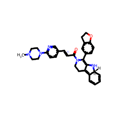 CN1CCN(c2ccc(/C=C/C(=O)N3CCC4=C5C=CC=C[C@H]5NC4=C3c3ccc4c(c3)CCO4)cn2)CC1